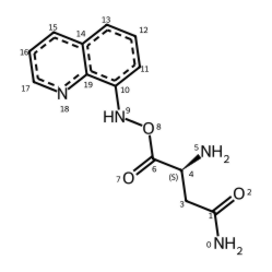 NC(=O)C[C@H](N)C(=O)ONc1cccc2cccnc12